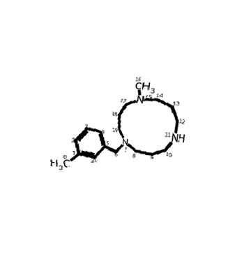 Cc1cccc(CN2CCCNCCCN(C)CCC2)c1